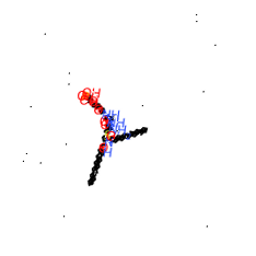 CCCCCCCCCCCCOC[C@H](CSC[C@H](N)C(=O)N[C@@H](C)C(=O)NCCOCCOCCP(=O)(O)O)NC(=O)CCCCCCCCCCC